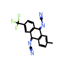 Cc1ccc2c(c1)/C(=N/C#N)c1ccc(C(F)(F)F)cc1/C2=N/C#N